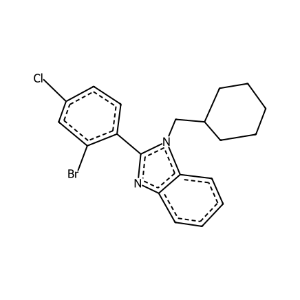 Clc1ccc(-c2nc3ccccc3n2CC2CCCCC2)c(Br)c1